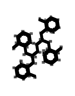 Cc1cccnc1CN(CCN(Cc1ncccc1C)Cc1ncccc1C)Cc1ncccc1C